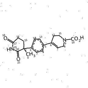 CC1(c2ccc(C3=CCN(C(=O)O)CC3)cc2)CCC(=O)NC1=O